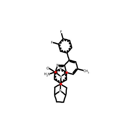 CC1=CN2C(=NC(N)N2C2CC3CCC(C2)N3c2ccnc(Cl)c2)C(c2ccc(F)c(F)c2)=C1